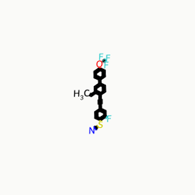 CCc1cc(-c2ccc(OC(F)(F)F)cc2)ccc1C#Cc1ccc(SC#N)c(F)c1